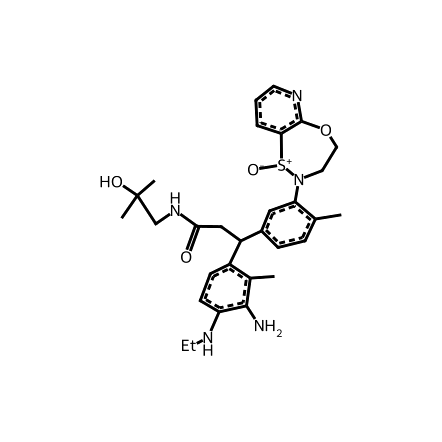 CCNc1ccc(C(CC(=O)NCC(C)(C)O)c2ccc(C)c(N3CCOc4ncccc4[S+]3[O-])c2)c(C)c1N